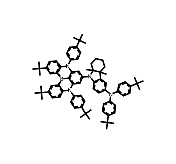 CC(C)(C)c1ccc(N(c2ccc(C(C)(C)C)cc2)c2ccc3c(c2)C2(C)CCCCC2(C)N3c2cc3c4c(c2)N(c2ccc(C(C)(C)C)cc2)c2ccc(C(C)(C)C)cc2B4c2cc(C(C)(C)C)ccc2N3c2ccc(C(C)(C)C)cc2)cc1